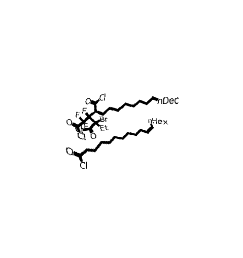 CCCCCC/C=C\CCCCCCCCCC(=O)Cl.CCCCCCCCCCCCCCCCCCC(C(=O)Cl)C(F)(C(F)(F)C(=O)Cl)C(Br)(CC)C(=O)Cl